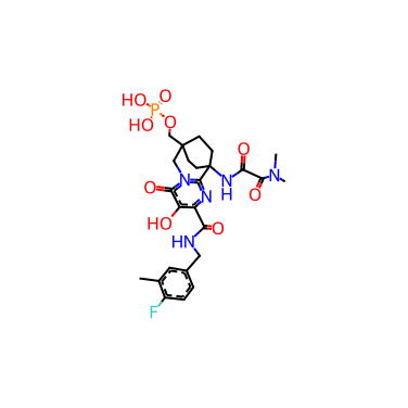 Cc1cc(CNC(=O)c2nc3n(c(=O)c2O)CC2(COP(=O)(O)O)CCC3(NC(=O)C(=O)N(C)C)CC2)ccc1F